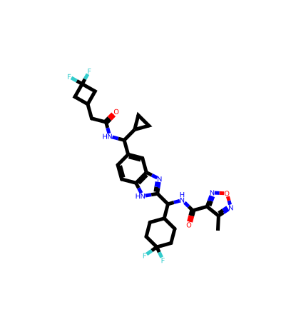 Cc1nonc1C(=O)NC(c1nc2cc(C(NC(=O)CC3CC(F)(F)C3)C3CC3)ccc2[nH]1)C1CCC(F)(F)CC1